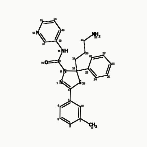 Cc1cccc(C2=NN(C(=O)Nc3cccnc3)C(CCCN)(c3ccccc3)S2)c1